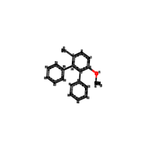 CC(C)c1ccc(O[SiH3])c(-c2ccccc2)c1-c1ccccc1